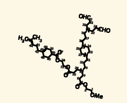 COCCOC(=O)CCN(CCCN1CCN(CCCN(CCC=O)CCC=O)CC1)CCC(=O)OCCOC(=O)C1CC=C(CCC=C(C)C)CC1